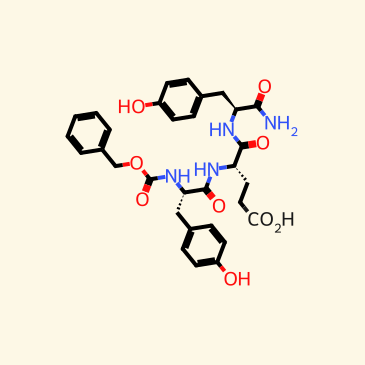 NC(=O)[C@H](Cc1ccc(O)cc1)NC(=O)[C@H](CCC(=O)O)NC(=O)[C@H](Cc1ccc(O)cc1)NC(=O)OCc1ccccc1